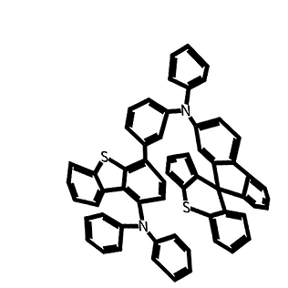 c1ccc(N(c2cccc(-c3ccc(N(c4ccccc4)c4ccccc4)c4c3sc3ccccc34)c2)c2ccc3c(c2)C2(c4ccccc4Sc4ccccc42)c2ccccc2-3)cc1